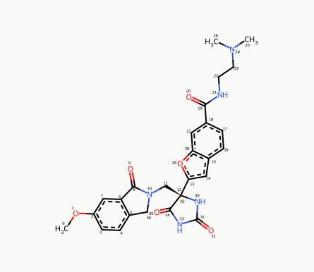 COc1ccc2c(c1)C(=O)N(C[C@@]1(c3cc4ccc(C(=O)NCCN(C)C)cc4o3)NC(=O)NC1=O)C2